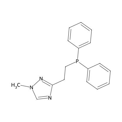 Cn1cnc(CCP(c2ccccc2)c2ccccc2)n1